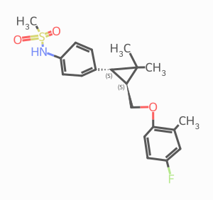 Cc1cc(F)ccc1OC[C@H]1[C@H](c2ccc(NS(C)(=O)=O)cc2)C1(C)C